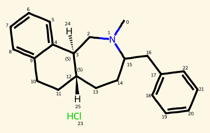 CN1C[C@@H]2c3ccccc3CC[C@H]2CCC1Cc1ccccc1.Cl